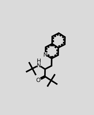 CC(C)(C)NC(Cc1cc2ccccc2cn1)C(=O)C(C)(C)C